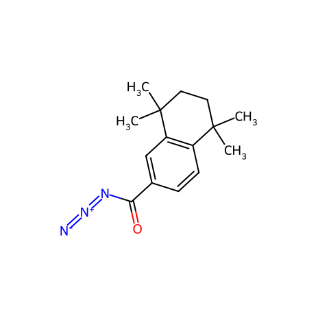 CC1(C)CCC(C)(C)c2cc(C(=O)N=[N+]=[N-])ccc21